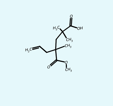 C=CCC(C)(CC(C)(C)C(=O)O)C(=O)OC